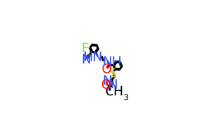 Cc1nc(CSc2ccccc2C(=O)NCCNc2cccc(F)c2C#N)no1